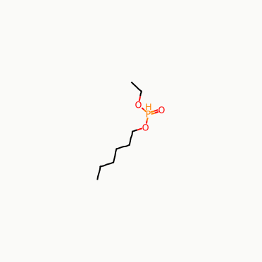 CCCCCCO[PH](=O)OCC